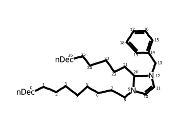 CCCCCCCCCCCCCCCCCCN1C=CN(Cc2ccccc2)C1CCCCCCCCCCCCCCC